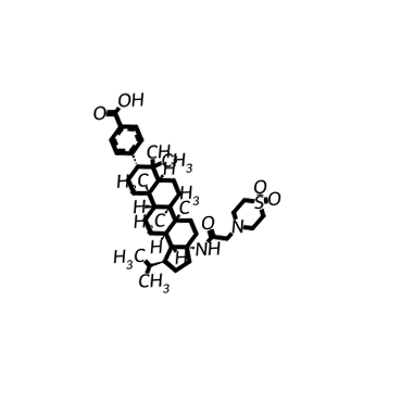 CC(C)[C@@H]1CC[C@]2(NC(=O)CN3CCS(=O)(=O)CC3)CC[C@]3(C)[C@H](CC[C@@H]4[C@@]5(C)CC[C@H](c6ccc(C(=O)O)cc6)C(C)(C)[C@@H]5CC[C@]43C)[C@@H]12